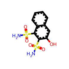 NS(=O)(=O)c1c(O)cc2ccccc2c1S(N)(=O)=O